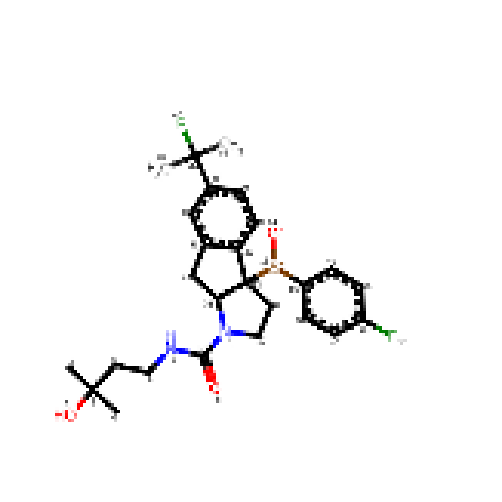 CC(C)(O)CCNC(=O)N1CCC2([S+]([O-])c3ccc(F)cc3)c3ccc(C(F)(C(F)(F)F)C(F)(F)F)cc3CC12